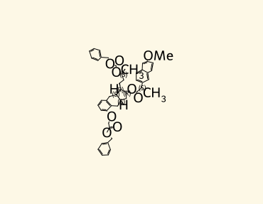 COc1ccc2cc([C@H](C)C(=O)O[C@@H]3C[C@@H]4Cc5c(cccc5OCC(=O)OCc5ccccc5)C[C@@H]4[C@H]3CC[C@H](C)OC(=O)OCc3ccccc3)ccc2c1